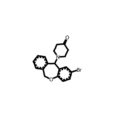 O=C1CCN(C2c3ccccc3COc3ccc(Br)cc32)CC1